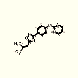 CC(=Cc1nc(-c2ccc(Oc3ncccn3)cc2)no1)C(=O)O